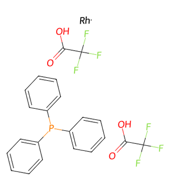 O=C(O)C(F)(F)F.O=C(O)C(F)(F)F.[Rh].c1ccc(P(c2ccccc2)c2ccccc2)cc1